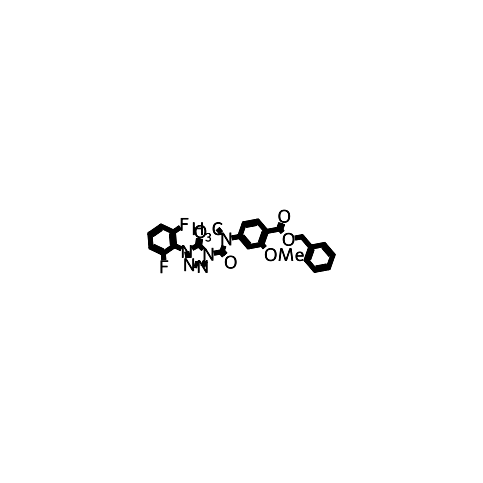 COc1cc(N(C)C(=O)n2nnn(-c3c(F)cccc3F)c2=O)ccc1C(=O)OCc1ccccc1